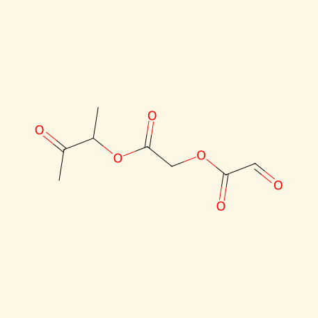 CC(=O)C(C)OC(=O)COC(=O)C=O